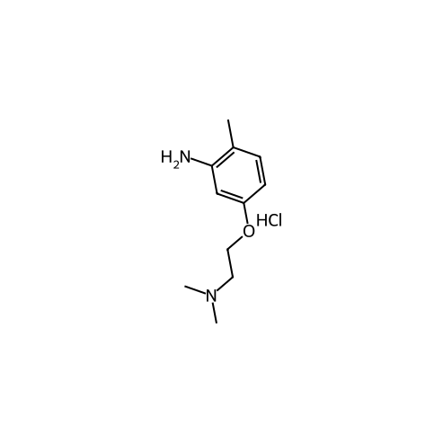 Cc1ccc(OCCN(C)C)cc1N.Cl